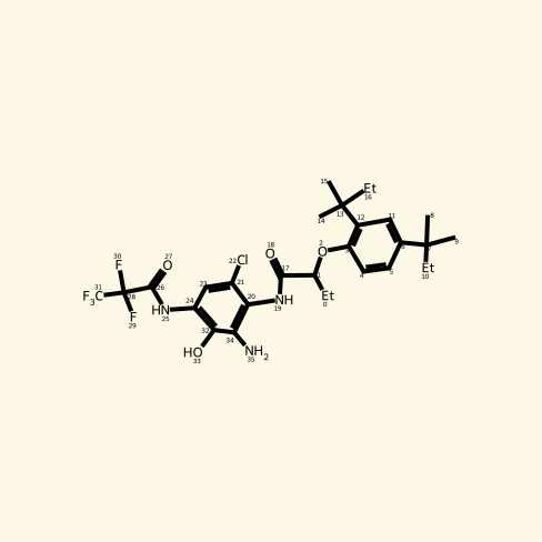 CCC(Oc1ccc(C(C)(C)CC)cc1C(C)(C)CC)C(=O)Nc1c(Cl)cc(NC(=O)C(F)(F)C(F)(F)F)c(O)c1N